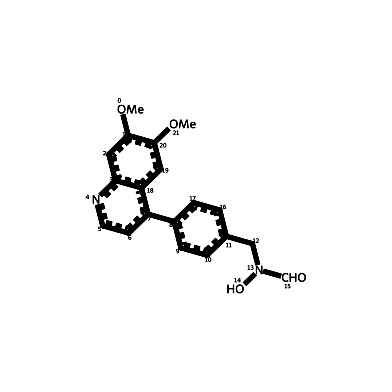 COc1cc2nccc(-c3ccc(CN(O)C=O)cc3)c2cc1OC